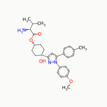 COc1ccc(-n2nc([C@]3(O)CC[C@H](OC(=O)[C@@H](N)C(C)C)CC3)cc2-c2ccc(C)cc2)cc1